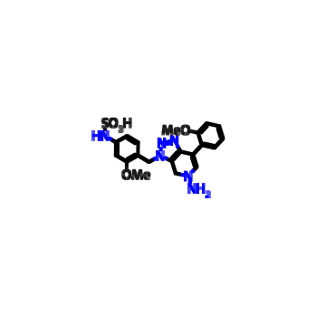 COc1cc(NS(=O)(=O)O)ccc1Cn1nnc2c1CN(N)C=C2c1ccccc1OC